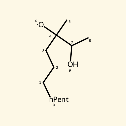 CCCCCCCCC(C)([O])C(C)O